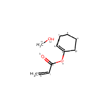 C=CC(=O)OC1=CCCCC1.CO